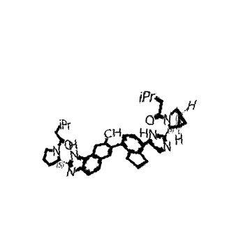 CC(C)CC(=O)N1C[C@H]2C[C@H]2[C@H]1c1ncc(-c2ccc(C3=Cc4ccc5nc([C@@H]6CCCN6C(=O)CC(C)C)[nH]c5c4CC3C)c3c2CCC3)[nH]1